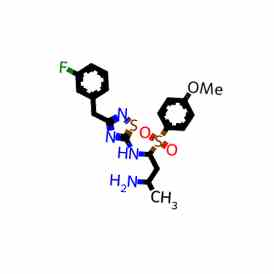 COc1ccc(S(=O)(=O)C(CC(C)N)Nc2nc(Cc3cccc(F)c3)ns2)cc1